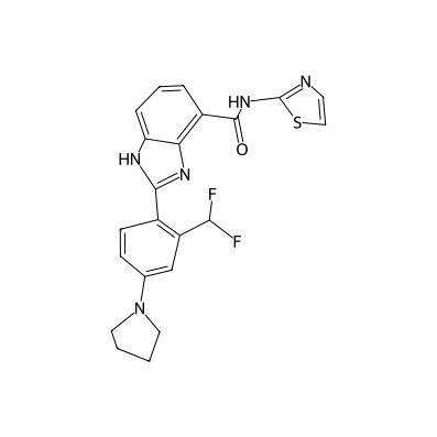 O=C(Nc1nccs1)c1cccc2[nH]c(-c3ccc(N4CCCC4)cc3C(F)F)nc12